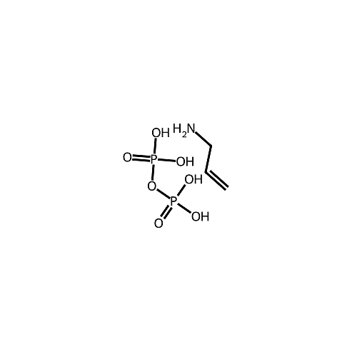 C=CCN.O=P(O)(O)OP(=O)(O)O